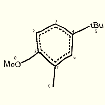 [CH2]Oc1ccc(C(C)(C)C)cc1C